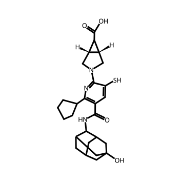 O=C(NC1C2CC3CC1CC(O)(C3)C2)c1cc(S)c(N2C[C@@H]3C(C(=O)O)[C@@H]3C2)nc1C1CCCC1